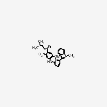 CCN(CCN(C)C)c1cc(OC)c(Nc2nccc(-c3cn(C)c4ccccc34)n2)cc1[N+](=O)[O-]